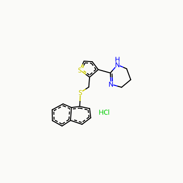 Cl.c1ccc2c(SCc3sccc3C3=NCCCN3)cccc2c1